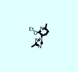 CCOc1nc(C)ccc1-n1cnc(C)n1